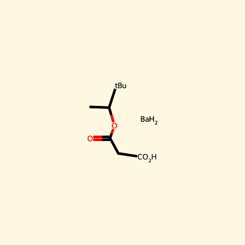 CC(OC(=O)CC(=O)O)C(C)(C)C.[BaH2]